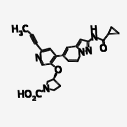 CC#Cc1cc(-c2ccn3nc(NC(=O)C4CC4)cc3c2)c(O[C@H]2CCN(C(=O)O)C2)cn1